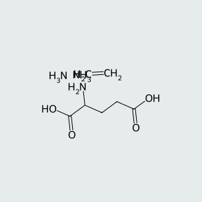 C=C.N.N.NC(CCC(=O)O)C(=O)O